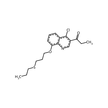 CCCSCCCOc1cccc2c(Cl)c(C(=O)CC)cnc12